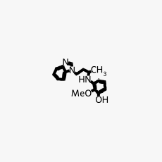 COc1c(NC(C)CCn2cnc3ccccc32)[c]ccc1O